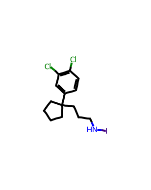 Clc1ccc(C2(CCCNI)CCCC2)cc1Cl